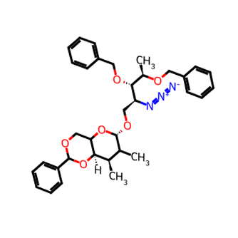 CC1[C@@H](OC[C@H](N=[N+]=[N-])[C@H](OCc2ccccc2)[C@@H](C)OCc2ccccc2)OC2COC(c3ccccc3)O[C@@H]2[C@@H]1C